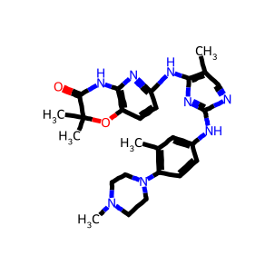 Cc1cc(Nc2ncc(C)c(Nc3ccc4c(n3)NC(=O)C(C)(C)O4)n2)ccc1N1CCN(C)CC1